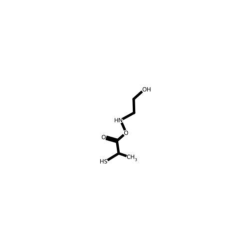 CC(S)C(=O)ONCCO